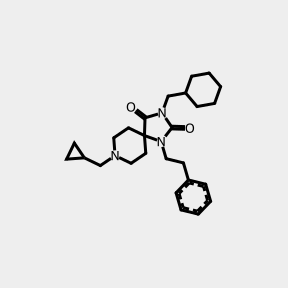 O=C1N(CC2CCCCC2)C(=O)C2(CCN(CC3CC3)CC2)N1CCc1ccccc1